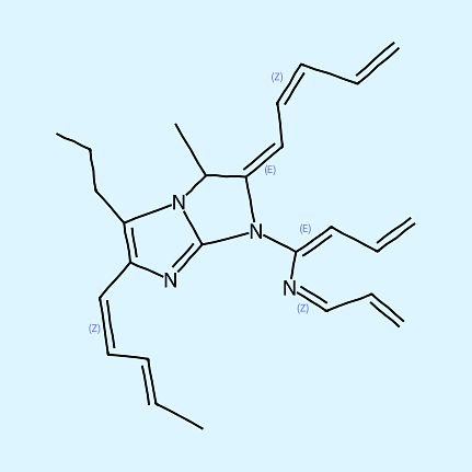 C=C/C=C\C=C1/C(C)n2c(nc(/C=C\C=CC)c2CCC)N1C(=C/C=C)/N=C\C=C